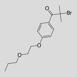 CCCOCCOc1ccc(C(=O)C(C)(C)Br)cc1